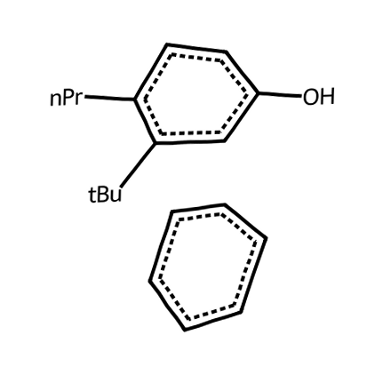 CCCc1ccc(O)cc1C(C)(C)C.c1ccccc1